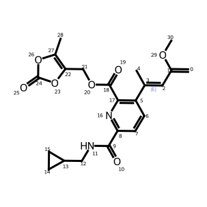 C=C(/C=C(\C)c1ccc(C(=O)NCC2CC2)nc1C(=O)OCc1oc(=O)oc1C)OC